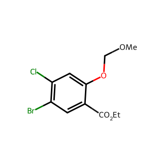 CCOC(=O)c1cc(Br)c(Cl)cc1OCOC